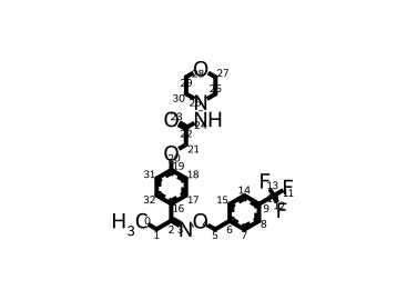 CCC(=NOCc1ccc(C(F)(F)F)cc1)c1ccc(OCC(=O)NN2CCOCC2)cc1